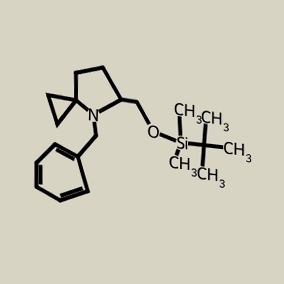 CC(C)(C)[Si](C)(C)OCC1CCC2(CC2)N1Cc1ccccc1